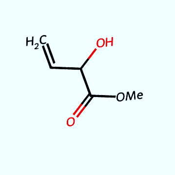 C=CC(O)C(=O)OC